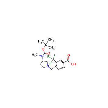 CN(C(=O)OC(C)(C)C)C1CCN(Cc2ccc(C(=O)O)cc2C(F)(F)F)C1